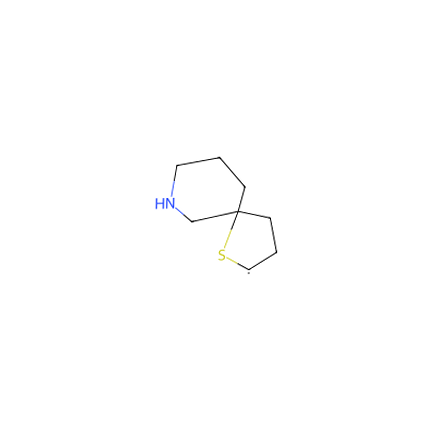 [CH]1CCC2(CCCNC2)S1